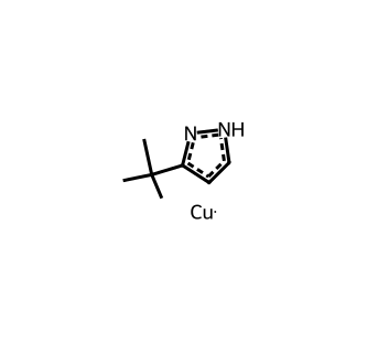 CC(C)(C)c1cc[nH]n1.[Cu]